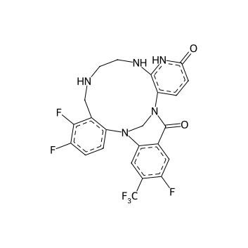 O=C1c2cc(F)c(C(F)(F)F)cc2N2CN1c1ccc(=O)[nH]c1NCCNCc1c2ccc(F)c1F